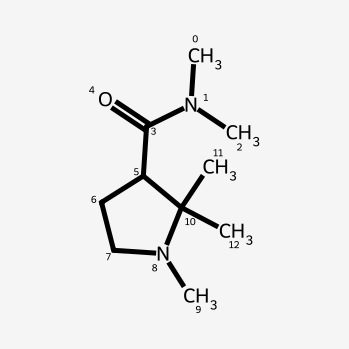 CN(C)C(=O)C1CCN(C)C1(C)C